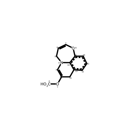 O=C(O)OC1=CN2CC=COc3cccc(c32)C1